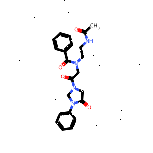 CC(=O)NCCN(CC(=O)N1CC(=O)N(c2ccccc2)C1)C(=O)c1ccccc1